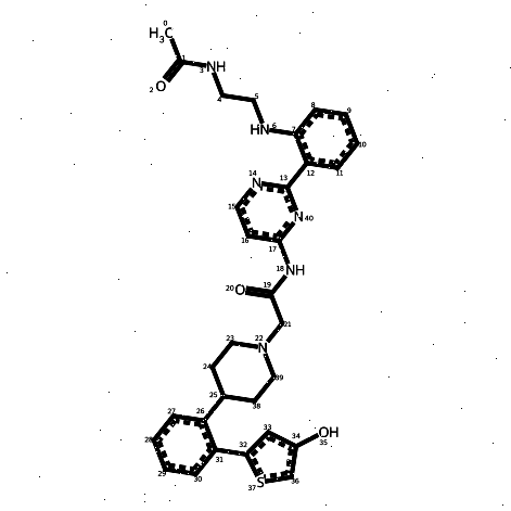 CC(=O)NCCNc1ccccc1-c1nccc(NC(=O)CN2CCC(c3ccccc3-c3cc(O)cs3)CC2)n1